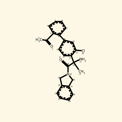 CC(=O)c1ccccc1-c1ccc(C(C)(N)C(=O)N2Cc3ccccc3C2)c(Cl)c1